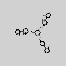 Cc1ccccc1-c1ccc(CC[C@H]2C[C@@H](CCc3ccc(-c4ccccc4C)nc3)C[C@@H](CCc3ccc(-c4ccccc4C)nc3)C2)cc1